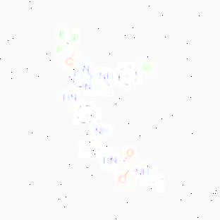 O=C(NCC1CC1)C(=O)NCC1CCCC1Nc1ccc(Nc2nc(NC3(c4ccc(Cl)cc4)CC3)nc(OCC(F)(F)F)n2)cc1